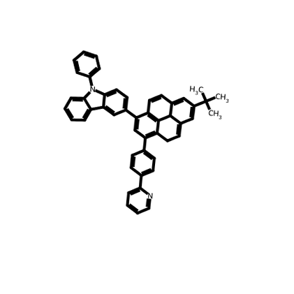 CC(C)(C)C1=CC2=CCc3c(-c4ccc(-c5ccccn5)cc4)cc(-c4ccc5c(c4)c4ccccc4n5-c4ccccc4)c4c3C2C(=C1)C=C4